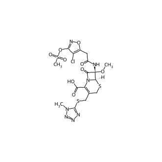 CO[C@@]1(NC(=O)Cc2onc(OS(C)(=O)=O)c2Cl)C(=O)N2C(C(=O)O)=C(CSc3nnnn3C)CS[C@@H]21